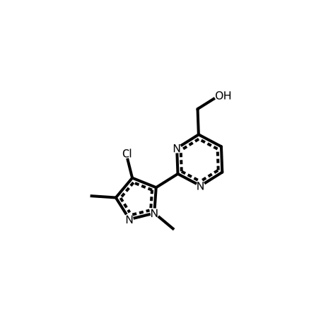 Cc1nn(C)c(-c2nccc(CO)n2)c1Cl